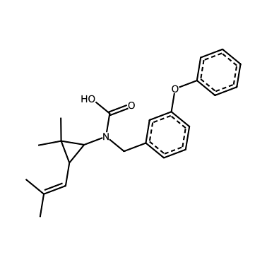 CC(C)=CC1C(N(Cc2cccc(Oc3ccccc3)c2)C(=O)O)C1(C)C